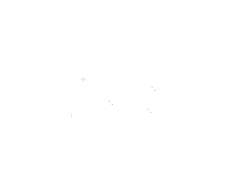 CCOc1ccc(C(=O)N(Cc2cccnc2C(N)=O)[C@@H]2CCc3c(F)cc(Cl)cc32)c(O)c1